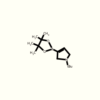 CC(C)(C)N1CC=C(B2OC(C)(C)C(C)(C)O2)C1